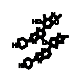 Cc1nc2c(C)c(O)c(-c3cc(Oc4cc5nn(C)cc5cc4-c4ccc5nn(C6CCNCC6)cc5n4)c4nn(C5CCNCC5)cc4n3)cc2o1